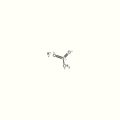 C[S-](=O)=O.[K+]